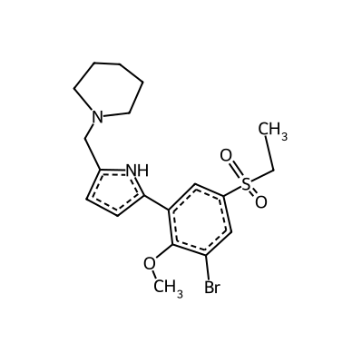 CCS(=O)(=O)c1cc(Br)c(OC)c(-c2ccc(CN3CCCCC3)[nH]2)c1